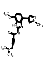 COc1ccc(-c2cnn(C)c2)c2nc(NC(=O)C#CCN(C)C)[nH]c12